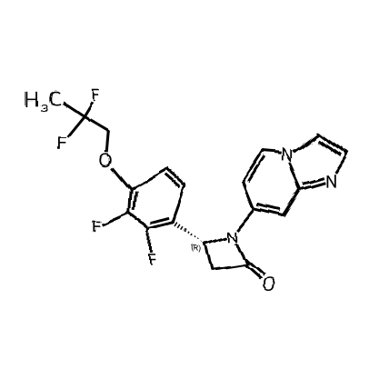 CC(F)(F)COc1ccc([C@H]2CC(=O)N2c2ccn3ccnc3c2)c(F)c1F